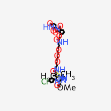 COC(=O)C[C@@H]1N=C(c2ccc(Cl)cc2)c2c(sc(C(=O)NCCCOCCOCCOCCCNC(=O)COc3cccc4c3C(=O)N(C3CCC(=O)NC3=O)C4=O)c2C)-n2c(C)nnc21